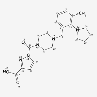 Cc1cccc(CN2CCN(C(=O)n3ccc(C(=O)O)n3)CC2)c1N1CCCC1